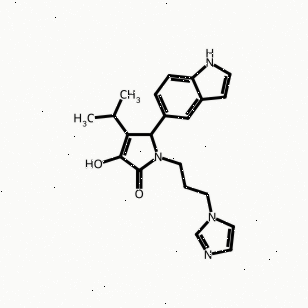 CC(C)C1=C(O)C(=O)N(CCCn2ccnc2)C1c1ccc2[nH]ccc2c1